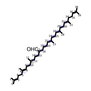 CC(C)=CCC/C(C)=C/C=C/C(C)=C/C=C/C(C=O)=C/C=C/C=C(C)/C=C/C=C(C)/C=C/C=C(\C)CCC=C(C)C